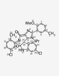 COc1ccc(C)cc1-c1nc2c(n1C(C)C)[C@@]1(C(=O)Nc3cc(Cl)ccc31)N(c1cc(Cl)ccc1C)C2=O